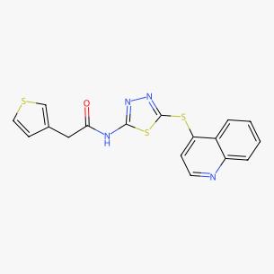 O=C(Cc1ccsc1)Nc1nnc(Sc2ccnc3ccccc23)s1